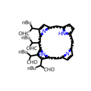 CCCCC(C=O)C1=Cc2cc3ccc(cc4nc(cc5[nH]c(c(C(C=O)CCCC)c1n2)c(C(C=O)CCCC)c5C(C=O)CCCC)C=C4)[nH]3